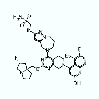 CCc1c(F)ccc2cc(O)cc(N3CCc4c(nc(OC[C@@]56CCCN5C[C@H](F)C6)nc4N4CCCn5nc(NCS(N)(=O)=O)cc5C4)C3)c12